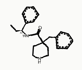 CC[C@H](NC(=O)C1(Cc2ccccc2)CCNCC1)c1ccccc1